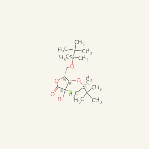 CC(C)(C)[Si](C)(C)OC[C@H]1OC(=O)[C@@](F)(Br)[C@@H]1O[Si](C)(C)C(C)(C)C